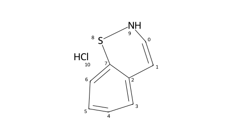 C1=Cc2ccccc2SN1.Cl